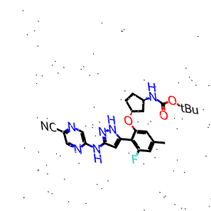 Cc1cc(F)c(-c2cc(Nc3cnc(C#N)cn3)n[nH]2)c(O[C@@H]2CC[C@@H](NC(=O)OC(C)(C)C)C2)c1